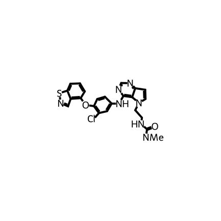 CNC(=O)NCCn1ccc2ncnc(Nc3ccc(Oc4cccc5sncc45)c(Cl)c3)c21